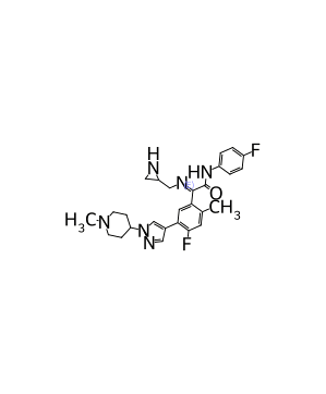 Cc1cc(F)c(-c2cnn(C3CCN(C)CC3)c2)cc1/C(=N\CC1CN1)C(=O)Nc1ccc(F)cc1